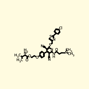 CC(C)[C@H](N)C(=O)OCCOc1ccc(-c2c(C#N)c(NC(=O)CCCN(C)C)nc(SCc3csc(-c4ccc(Cl)cc4)n3)c2C#N)cc1